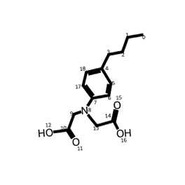 CCCCc1ccc(N(CC(=O)O)CC(=O)O)cc1